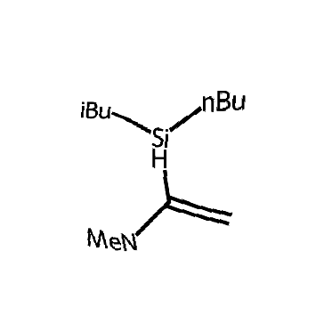 C=C(NC)[SiH](CCCC)C(C)CC